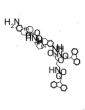 C[C@]1(C(=O)NC(=O)[C@@]2(C)CCC[C@]3(C)c4cc(NC(=O)[C@H](CCCCNC(=O)OCC5c6ccccc6-c6ccccc65)NC(=O)OCC5c6ccccc6-c6ccccc65)ccc4CC[C@@H]23)CCC[C@]2(C)c3cc(N)ccc3CC[C@@H]12